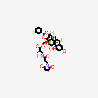 C[C@H](CNC(=O)CCN1C(=O)C=CC1=O)C(=O)OCC(=O)[C@@]12C[C@@H](C[C@H]3[C@@H]4C[C@H](F)C5=CC(=O)C=C[C@]5(C)[C@@]4(F)[C@@H](O)C[C@@]31C)O[C@@H](c1cccc(F)c1)O2